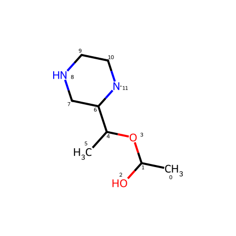 CC(O)OC(C)C1CNCC[N]1